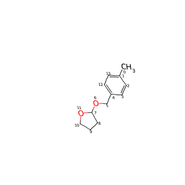 Cc1ccc(COC2CCCO2)cc1